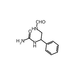 NC(=O)NC(CN[C]=O)c1ccccc1